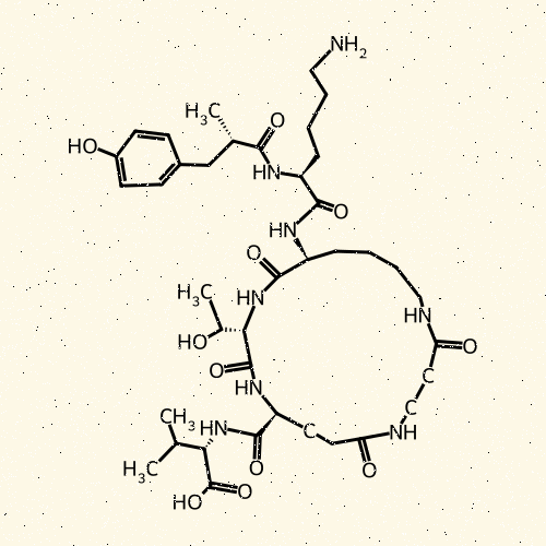 CC(C)[C@H](NC(=O)[C@@H]1CCC(=O)NCCC(=O)NCCCC[C@H](NC(=O)[C@H](CCCCN)NC(=O)[C@@H](C)Cc2ccc(O)cc2)C(=O)N[C@@H](C(C)O)C(=O)N1)C(=O)O